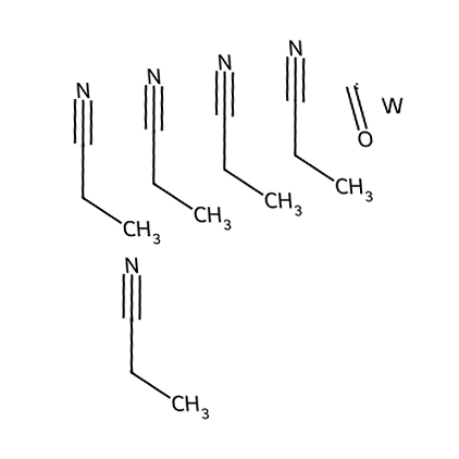 CCC#N.CCC#N.CCC#N.CCC#N.CCC#N.[C]=O.[W]